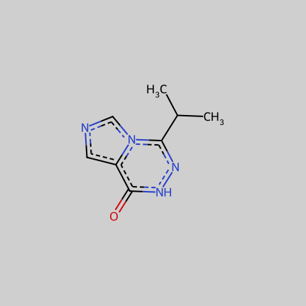 CC(C)c1n[nH]c(=O)c2cncn12